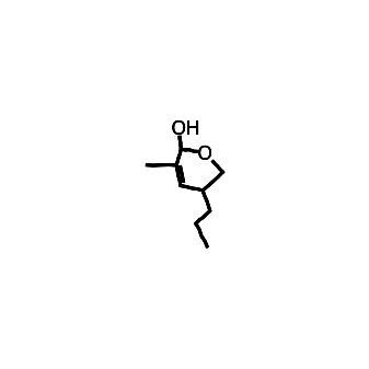 CCCC1C=C(C)C(O)OC1